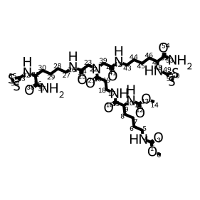 COC(=O)NCCCCC(NC(=O)OC)C(=O)NCCC(=O)N(CC(=O)NCCCCC(NC1SS1)C(N)=O)CC(=O)NCCCCC(NC1SS1)C(N)=O